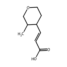 CC1COCCC1C=CC(=O)O